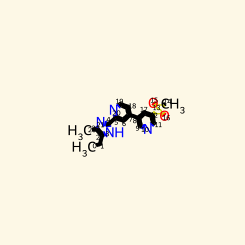 CCc1[nH]c(-c2cc(-c3cncc(S(C)(=O)=O)c3)ccn2)nc1C